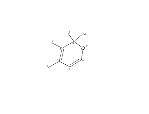 CC1=C(C)C(C)(C)OC=C1